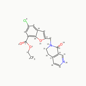 O=C(OCC(F)(F)F)c1cc(Cl)cc2cc(CN3CCc4ccncc4C3=O)oc12